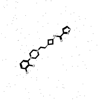 O=C(N[C@H]1C[C@H](CCN2CCN(c3cccc(Cl)c3Cl)CC2)C1)c1ccsn1